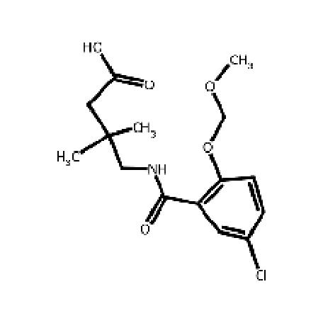 COCOc1ccc(Cl)cc1C(=O)NCC(C)(C)CC(=O)O